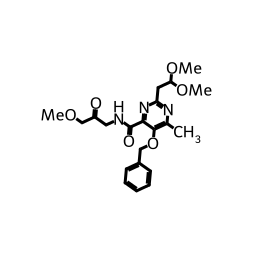 COCC(=O)CNC(=O)c1nc(CC(OC)OC)nc(C)c1OCc1ccccc1